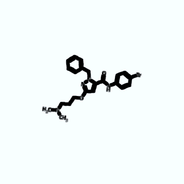 CN(C)CCCOc1cc(C(=O)Nc2ccc(Br)cc2)n(Cc2ccccc2)n1